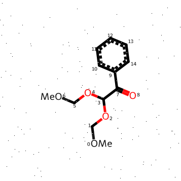 COCOC(OCOC)C(=O)c1ccccc1